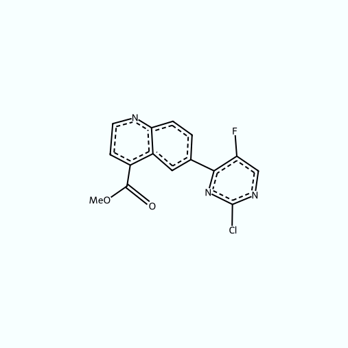 COC(=O)c1ccnc2ccc(-c3nc(Cl)ncc3F)cc12